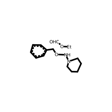 CCOC=O.c1ccc(CONN2CCCCC2)cc1